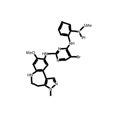 COc1cc2c(cc1Nc1ncc(Br)c(Nc3ccccc3N(SC)C(C)C)n1)-c1cnn(C)c1CCN2